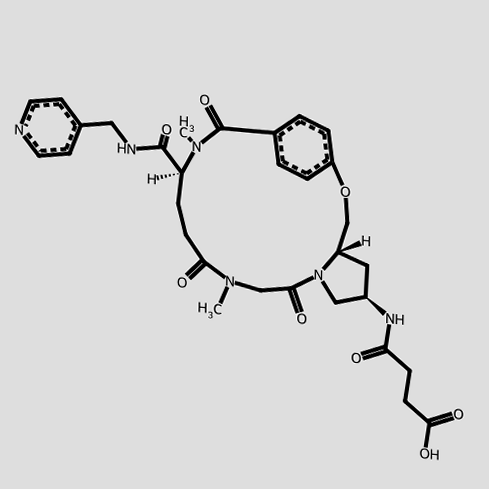 CN1CC(=O)N2C[C@H](NC(=O)CCC(=O)O)C[C@H]2COc2ccc(cc2)C(=O)N(C)[C@H](C(=O)NCc2ccncc2)CCC1=O